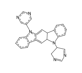 C1=NC=NCC1N1c2ccccc2C2C=c3c(c4ccccc4n3-c3cncnc3)=CC21